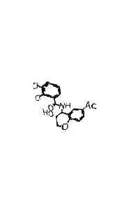 CC(=O)c1ccc2c(c1)[C@H](NC(=O)c1cccc(Cl)c1Cl)[C@@H](O)CO2